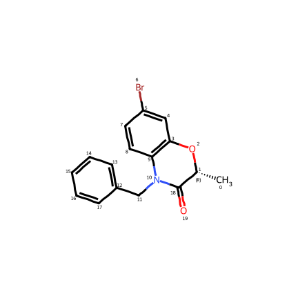 C[C@H]1Oc2cc(Br)ccc2N(Cc2ccccc2)C1=O